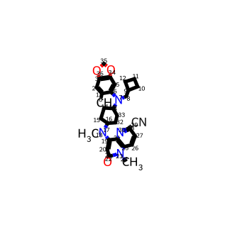 Cc1cc2c(cc1N(CC1CCC1)C1CCC(N(C)c3cc(=O)n(C)c4ccc(C#N)nc34)CC1)OCO2